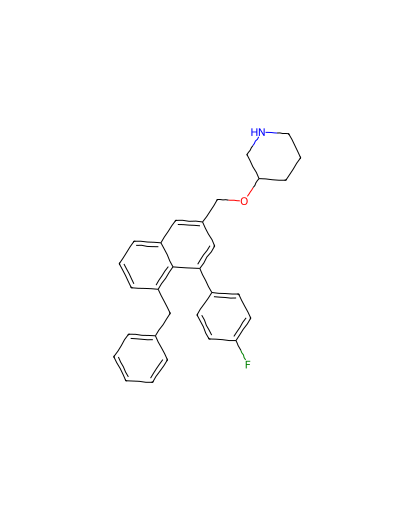 Fc1ccc(-c2cc(COC3CCCNC3)cc3cccc(Cc4ccccc4)c23)cc1